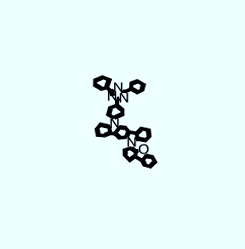 c1ccc(-c2nc(-c3ccccc3)nc(-c3ccc(-n4c5ccccc5c5cc6c(cc54)c4ccccc4n6-c4cccc5c4oc4ccccc45)cc3)n2)cc1